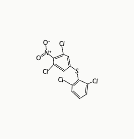 O=[N+]([O-])c1c(Cl)cc(Sc2c(Cl)cccc2Cl)cc1Cl